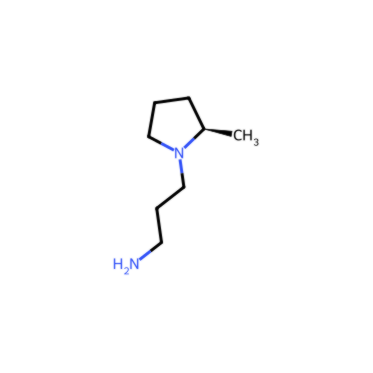 C[C@@H]1CCCN1CCCN